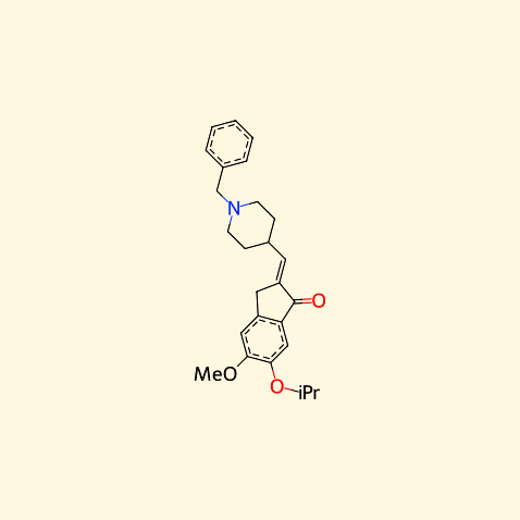 COc1cc2c(cc1OC(C)C)C(=O)C(=CC1CCN(Cc3ccccc3)CC1)C2